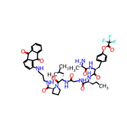 CCC[C@H](NC(=O)[C@H](Cc1ccc(OC(=O)C(F)(F)F)cc1)NC(=O)[C@H](C)N)C(=O)NCC(=O)N[C@@H](CC(C)C)C(=O)N1CCC[C@H]1C(=O)NCCCNc1cccc2c1C(=O)c1ccccc1C2=O